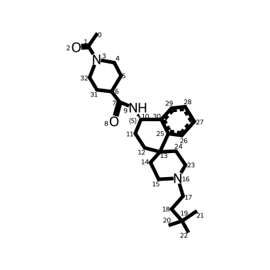 CC(=O)N1CCC(C(=O)N[C@H]2CCC3(CCN(CCC(C)(C)C)CC3)c3ccccc32)CC1